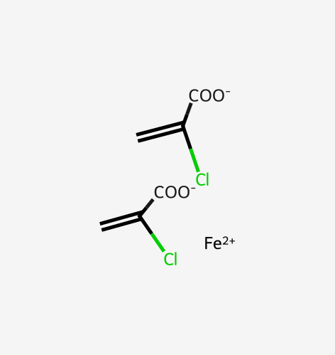 C=C(Cl)C(=O)[O-].C=C(Cl)C(=O)[O-].[Fe+2]